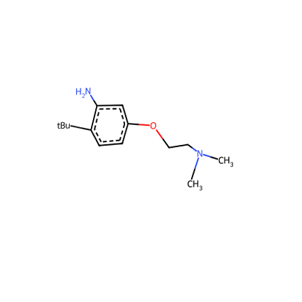 CN(C)CCOc1ccc(C(C)(C)C)c(N)c1